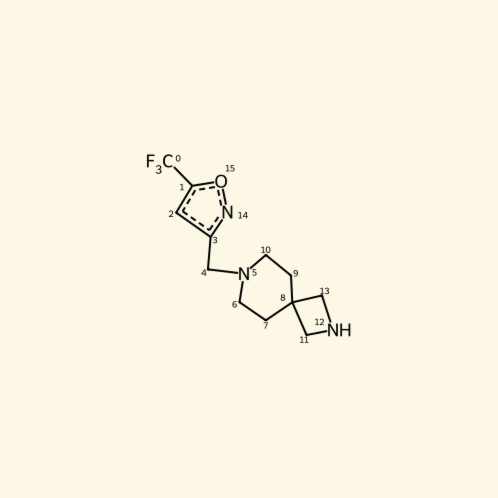 FC(F)(F)c1cc(CN2CCC3(CC2)CNC3)no1